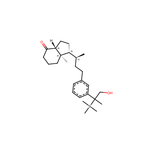 C[C@@H](CCc1cccc(C(C)(CO)[Si](C)(C)C)c1)[C@H]1CC[C@H]2C(=O)CCC[C@]12C